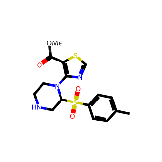 COC(=O)c1scnc1N1CCNCC1S(=O)(=O)c1ccc(C)cc1